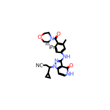 Cc1cc(Nc2nn(C(CC#N)C3CC3)c3cc[nH]c(=O)c23)ccc1C(=O)N1CCOC[C@H]1C(C)C